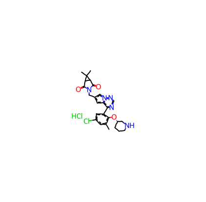 Cc1cc(Cl)cc(-c2ncnn3cc(CN4C(=O)C5C(C4=O)C5(C)C)cc23)c1O[C@H]1CCCNC1.Cl